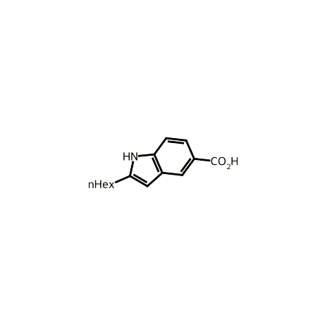 CCCCCCc1cc2cc(C(=O)O)ccc2[nH]1